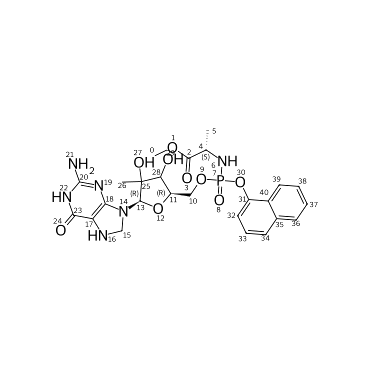 COC(=O)[C@H](C)NP(=O)(OC[C@H]1O[C@@H](N2CNc3c2nc(N)[nH]c3=O)C(C)(O)C1O)Oc1cccc2ccccc12